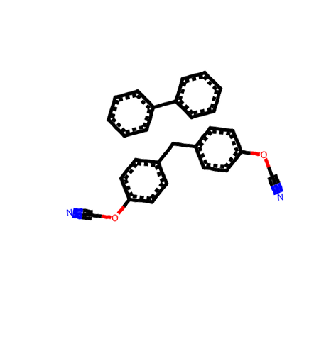 N#COc1ccc(Cc2ccc(OC#N)cc2)cc1.c1ccc(-c2ccccc2)cc1